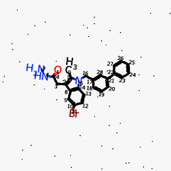 Cc1c(CC(=O)NN)c2cc(Br)ccc2n1Cc1cccc(-c2ccccc2)c1